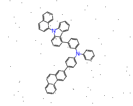 c1ccc(N(c2ccc(-c3ccc4c(ccc5ccccc54)c3)cc2)c2cccc(-c3cccc4c3c3ccccc3n4-c3cccc4ccccc34)c2)cc1